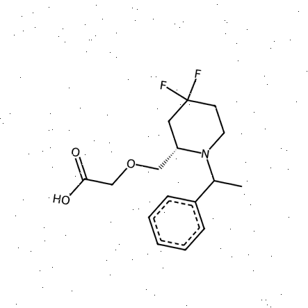 CC(c1ccccc1)N1CCC(F)(F)C[C@H]1COCC(=O)O